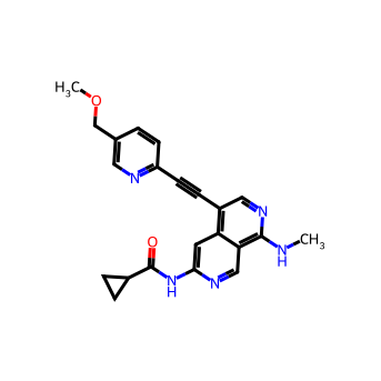 CNc1ncc(C#Cc2ccc(COC)cn2)c2cc(NC(=O)C3CC3)ncc12